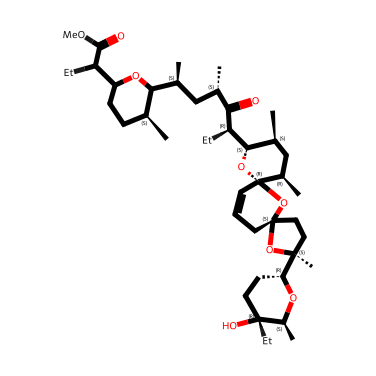 CCC(C(=O)OC)C1CC[C@H](C)C([C@@H](C)C[C@H](C)C(=O)[C@H](CC)[C@H]2O[C@]3(C=CC[C@]4(CC[C@@](C)([C@H]5CC[C@](O)(CC)[C@H](C)O5)O4)O3)[C@H](C)C[C@@H]2C)O1